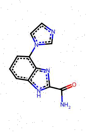 NC(=O)c1nc2c(-n3ccnc3)cccc2[nH]1